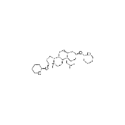 CC(C)C[C@]12CC[C@H](OC3CCCCO3)CC1=CCC1C2CC[C@@]2(C)C1CC[C@@H]2OC1CCCCO1